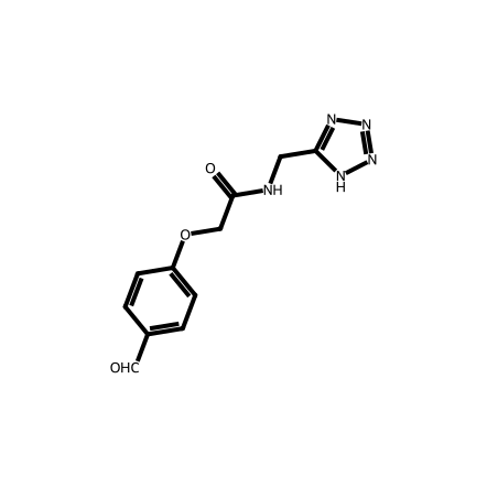 O=Cc1ccc(OCC(=O)NCc2nnn[nH]2)cc1